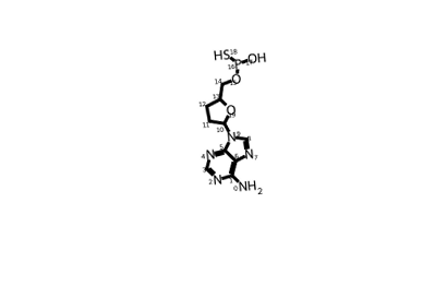 Nc1ncnc2c1ncn2C1CCC(COP(O)S)O1